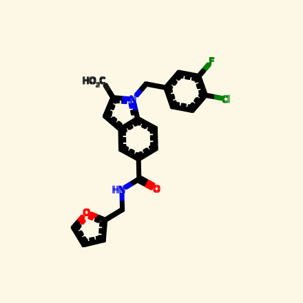 O=C(NCc1ccco1)c1ccc2c(c1)cc(C(=O)O)n2Cc1ccc(Cl)c(F)c1